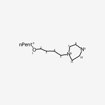 CCCCCOCCCCN1CC[N]CC1